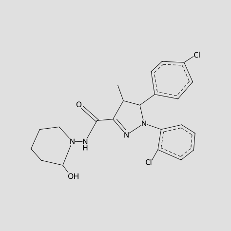 CC1C(C(=O)NN2CCCCC2O)=NN(c2ccccc2Cl)C1c1ccc(Cl)cc1